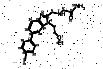 CCOCCn1c(CNCC(N)=O)nc2ccc(-c3ccc(F)cc3)cc21